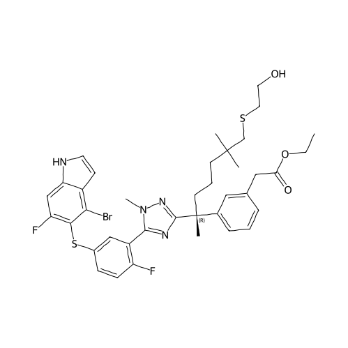 CCOC(=O)Cc1cccc([C@@](C)(CCCC(C)(C)CSCCO)c2nc(-c3cc(Sc4c(F)cc5[nH]ccc5c4Br)ccc3F)n(C)n2)c1